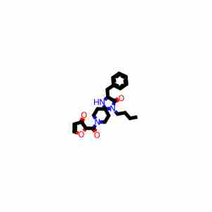 CCCCN1C(=O)C(Cc2ccccc2)NC12CCN(C(=O)C1OC=CC1=O)CC2